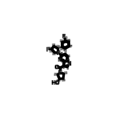 O=C(c1cnn2ccc(N3C[C@@H](F)C[C@@H]3c3cccc(F)c3)nc12)N1CC[C@H](O)C1